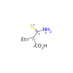 CCC(C(=O)O)C(N)=S